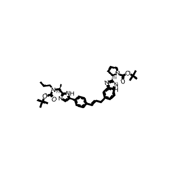 CCCN(C(=O)OC(C)(C)C)[C@@H](C)c1ncc(-c2ccc(C=CCc3ccc4[nH]c([C@@H]5CCCN5C(=O)OC(C)(C)C)nc4c3)cc2)[nH]1